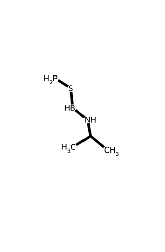 CC(C)NBSP